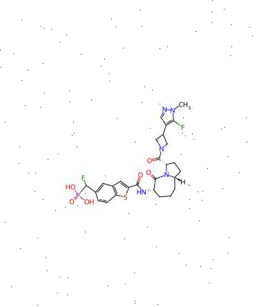 Cn1ncc(C2CN(C(=O)[C@@H]3CC[C@@H]4CCC[C@H](NC(=O)c5cc6cc(C(F)P(=O)(O)O)ccc6s5)C(=O)N43)C2)c1F